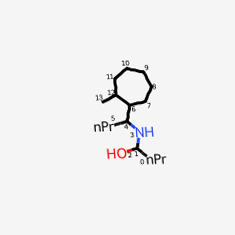 CCCC(O)NC(CCC)C1CCCCCC1C